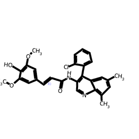 COc1cc(/C=C/C(=O)Nc2cnc3c(C)cc(C)cc3c2-c2ccccc2Cl)cc(OC)c1O